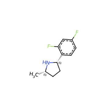 C[C@H]1CC[C@@H](c2ccc(F)cc2F)N1